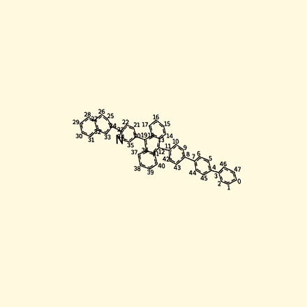 c1ccc(-c2ccc(-c3ccc(-c4c5ccccc5c(-c5ccc(-c6ccc7ccccc7c6)nc5)c5ccccc45)cc3)cc2)cc1